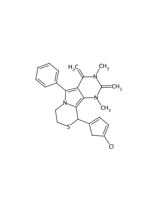 C=C1c2c(c3n(c2-c2ccccc2)CCSC3C2=CC=C(Cl)C2)N(C)C(=C)N1C